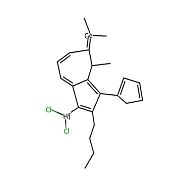 CCCCC1=[C]([Hf]([Cl])[Cl])C2=CC=C[C](=[Ge]([CH3])[CH3])C(C)C2=C1C1=CC=CC1